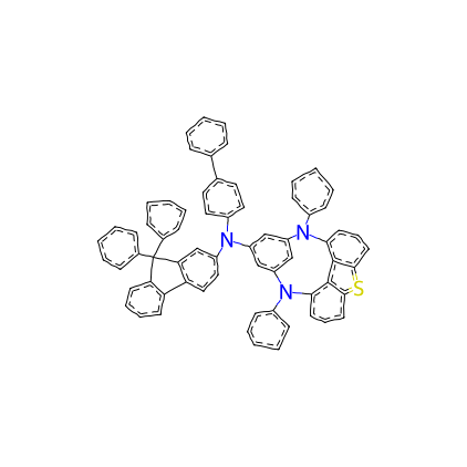 c1ccc(-c2ccc(N(c3cc4cc(c3)N(c3ccccc3)c3cccc5sc6cccc(c6c35)N4c3ccccc3)c3ccc4c(c3)C(c3ccccc3)(c3ccccc3)c3ccccc3-4)cc2)cc1